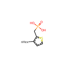 CCCCCCc1ccsc1CP(=O)(O)O